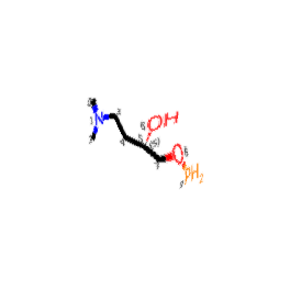 CN(C)CC[C@H](O)COP